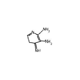 N=C1CC=NC(N)=C1N